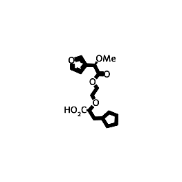 CO[C@@H](C(=O)OCCO[C@@H](CC1CCCC1)C(=O)O)c1ccoc1